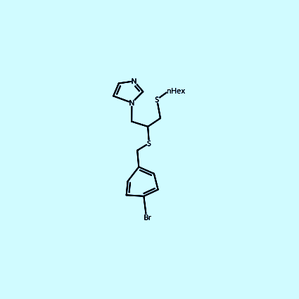 CCCCCCSCC(Cn1ccnc1)SCc1ccc(Br)cc1